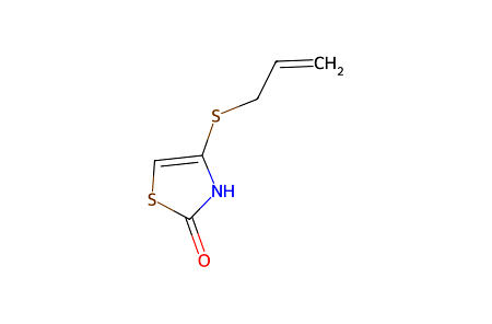 C=CCSc1csc(=O)[nH]1